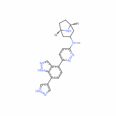 CN(c1ccc(-c2ccc(-c3cn[nH]c3)c3[nH]ncc23)nn1)C1C[C@H]2CC[C@@H](C1)N2